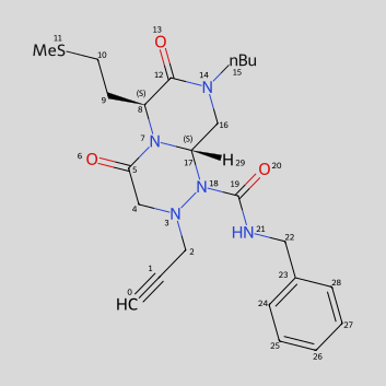 C#CCN1CC(=O)N2[C@@H](CCSC)C(=O)N(CCCC)C[C@@H]2N1C(=O)NCc1ccccc1